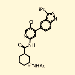 CC(=O)N[C@@H]1CCCC(C(=O)Nc2cc(-c3ccc4nsc(C(C)C)c4c3)c(Cl)cn2)C1